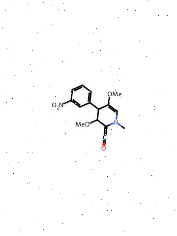 COC1=CN(C)C(=C=O)C(OC)C1c1cccc([N+](=O)[O-])c1